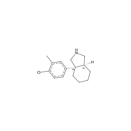 Cc1cc([C@@]23CCCC[C@@H]2CNC3)ccc1Cl